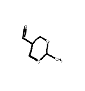 CC1OCC(C=O)CO1